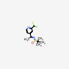 CC(=N[S@+]([O-])C(C)(C)C)c1ccnc(C(F)F)c1